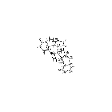 Cc1ccc2c(c1)[C@H]1C=CC[C@H]1[C@@H](c1ccc3ccccc3c1)N2